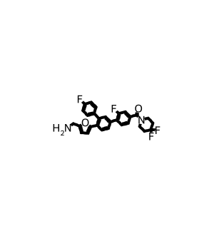 NCc1ccc(-c2ccc(-c3ccc(C(=O)N4CCC(F)(F)CC4)cc3F)cc2-c2ccc(F)cc2)o1